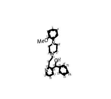 COc1ccccc1N1CCN(CCc2ncccc2C(O)c2ccccc2)CC1